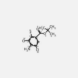 CC(C)(C)OC(=O)c1cc(Cl)c(N)c(Cl)c1F